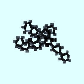 c1ccc(-c2ccc(C3=NC(c4ccc5c(oc6c7ccccc7ccc56)c4-n4c5ccccc5c5cc6ccccc6cc54)=NC(c4ccccc4)N3)cc2)cc1